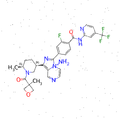 C[C@H]1CC[C@@H](C2=C3C=NC=C[N+]3(N)C(c3ccc(C(=O)Nc4cc(C(F)(F)F)ccn4)c(F)c3)=N2)CN1C(=O)C1(C)COC1